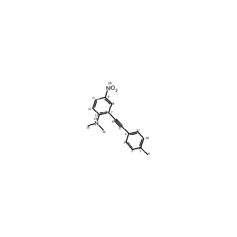 Cc1ccc(C#Cc2cc([N+](=O)[O-])ccc2N(C)C)cc1